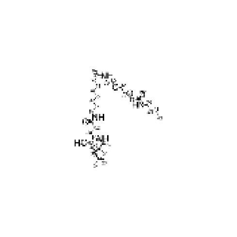 C=C(CCCCCCCNC(=O)CCC(NC(=C)C(C)(C)SC(=C)C)C(=C)O)NCCOCCOCC(=O)NCCCC